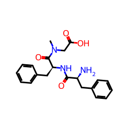 CN(CC(=O)O)C(=O)[C@H](Cc1ccccc1)NC(=O)[C@@H](N)Cc1ccccc1